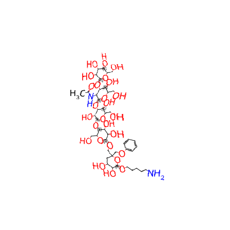 CC(=O)NC1C(O[C@@H]2OC(CO)[C@H](O)C(O)C2O)[C@@H](O)C(CO)O[C@H]1OC1C(O)[C@@H](O[C@H]2C(CO)O[C@@H](OCC3(COc4ccccc4)CC(O)C(O)[C@H](OCCCCCN)O3)C(O)C2O)OC(CO)[C@@H]1O